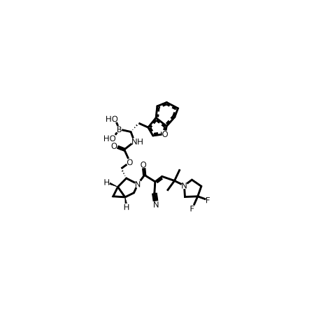 CC(C)(/C=C(\C#N)C(=O)N1C[C@@H]2C[C@@H]2[C@@H]1COC(=O)N[C@@H](Cc1coc2ccccc12)B(O)O)N1CCC(F)(F)C1